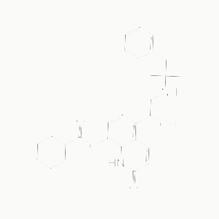 CC(C)(Cc1ccccc1)NCC(O)c1ccc(OC(=O)C2CCCCC2)c2[nH]c(=O)ccc12